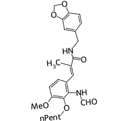 CCCCCOc1c(OC)ccc(/C=C(\C)C(=O)NCc2ccc3c(c2)OCO3)c1NC=O